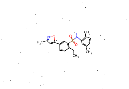 CCc1ccc(-c2cc(C)no2)cc1S(=O)(=O)Nc1cc(C)ccc1C